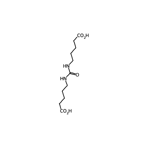 O=C(O)CCCCNC(=O)NCCCCC(=O)O